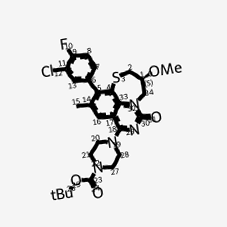 CO[C@@H]1CSc2c(-c3ccc(F)c(Cl)c3)c(C)cc3c(N4CCN(C(=O)OC(C)(C)C)CC4)nc(=O)n(c23)C1